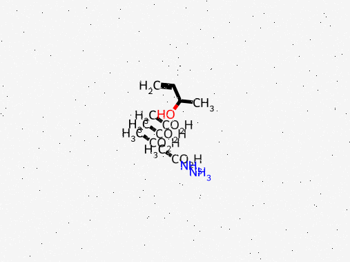 C=CC(C)O.CC(=O)O.CC(=O)O.CC(=O)O.CC(=O)O.N.N